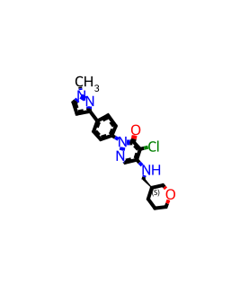 Cn1ccc(-c2ccc(-n3ncc(NC[C@@H]4CCCOC4)c(Cl)c3=O)cc2)n1